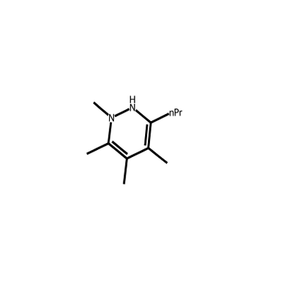 CCCC1=C(C)C(C)=C(C)N(C)N1